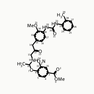 COC(=O)c1ccc(OC(C)NCC(=O)Cc2ccc(NC(=O)Nc3ccccc3C)c(OC)c2)c([N+](=O)[O-])c1